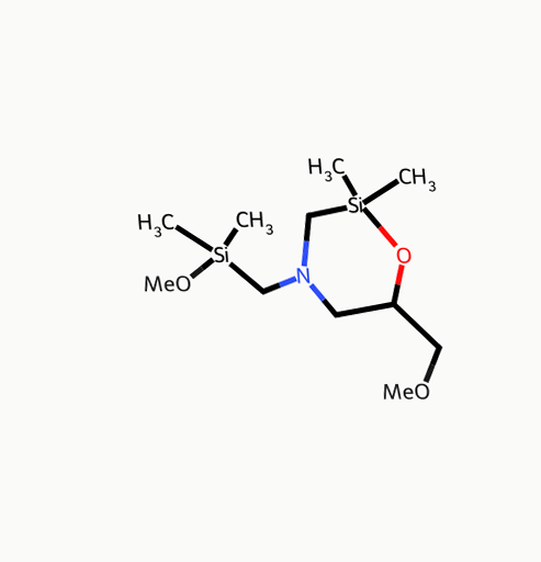 COCC1CN(C[Si](C)(C)OC)C[Si](C)(C)O1